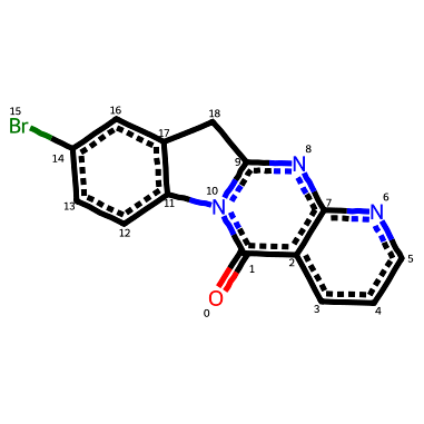 O=c1c2cccnc2nc2n1-c1ccc(Br)cc1C2